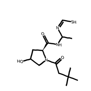 CC(/N=C\S)NC(=O)[C@@H]1CC(O)CN1C(=O)CC(C)(C)C